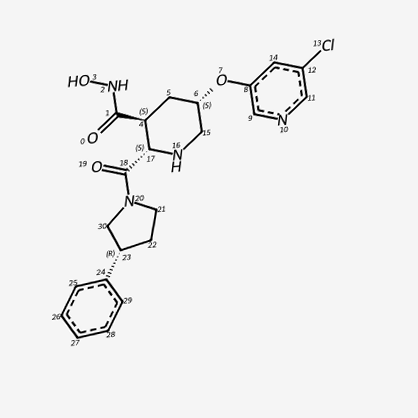 O=C(NO)[C@H]1C[C@H](Oc2cncc(Cl)c2)CN[C@@H]1C(=O)N1CC[C@H](c2ccccc2)C1